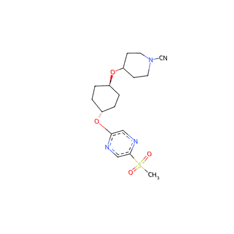 CS(=O)(=O)c1cnc(O[C@H]2CC[C@H](OC3CCN(C#N)CC3)CC2)cn1